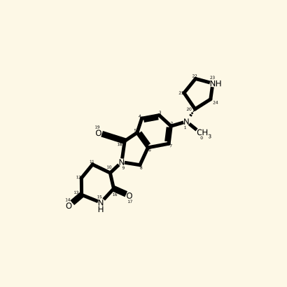 CN(c1ccc2c(c1)CN(C1CCC(=O)NC1=O)C2=O)[C@@H]1CCNC1